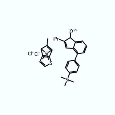 CC(C)C1=Cc2c(-c3ccc([Si](C)(C)C)cc3)cccc2[CH]1[Zr+2].CC1=C2c3sccc3C1[Si]2(C)C.[Cl-].[Cl-]